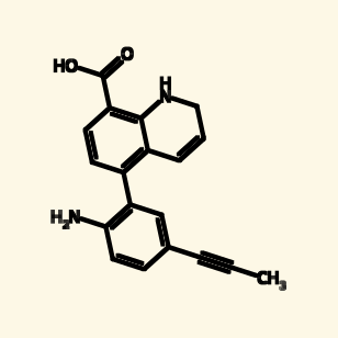 CC#Cc1ccc(N)c(-c2ccc(C(=O)O)c3c2C=CCN3)c1